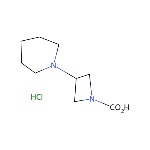 Cl.O=C(O)N1CC(N2CCCCC2)C1